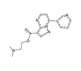 CN(C)CCOC(=O)c1cnn2c(-c3cccnc3)ccnc12